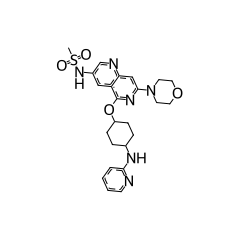 CS(=O)(=O)Nc1cnc2cc(N3CCOCC3)nc(OC3CCC(Nc4ccccn4)CC3)c2c1